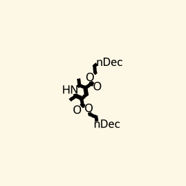 CCCCCCCCCCCCOC(=O)C1=CC(C(=O)OCCCCCCCCCCCC)=C(C)NC1C